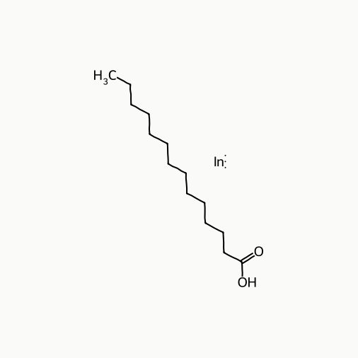 CCCCCCCCCCCCCC(=O)O.[In]